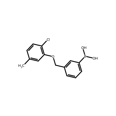 Cc1ccc(Cl)c(OCc2cccc(B(O)O)c2)c1